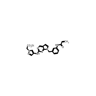 C=CC(=O)Nc1cccc(Cn2ccc3cnc(Nc4cnn(CC(=O)OCC)c4)nc32)c1